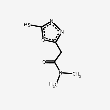 CN(C)C(=O)Cc1nnc(S)o1